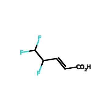 O=C(O)C=CC(F)C(F)F